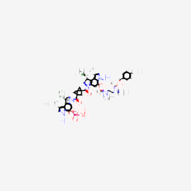 Cc1ccc(COC(=S)N(C)CCN(C)C(=S)Oc2cc3c(c4c(C)c[nH]c24)[C@H](CCl)CN3C(=O)C23CC4(C(=O)N5C[C@@H](CCl)c6c5cc(OP(=O)(O)O)c5[nH]cc(C)c65)CC24C3)cc1